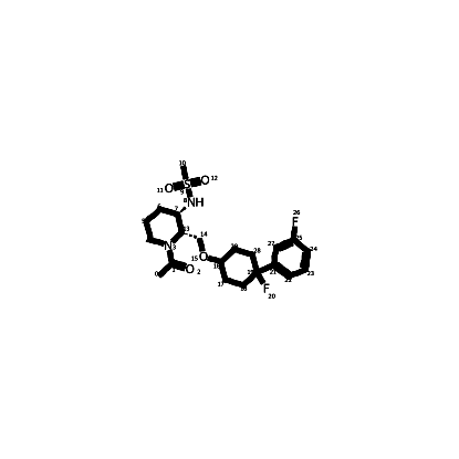 CC(=O)N1CCC[C@H](NS(C)(=O)=O)[C@@H]1COC1CCC(F)(c2cccc(F)c2)CC1